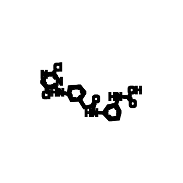 O=C(O)Nc1cccc(NC(=O)Cc2cccc(Nc3nc(Cl)ncc3Cl)c2)c1